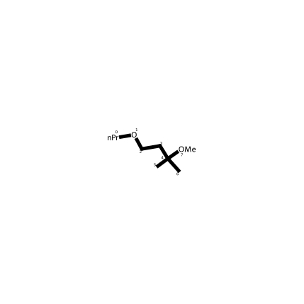 CCCOCCC(C)(C)OC